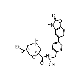 CCO[C@H]1CCNC[C@@H](C(=O)N[C@H](C#N)Cc2ccc(-c3ccc4oc(=O)n(C)c4c3)cc2)OC1